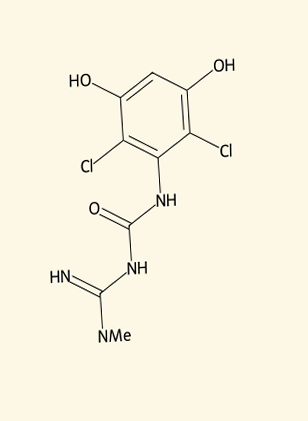 CNC(=N)NC(=O)Nc1c(Cl)c(O)cc(O)c1Cl